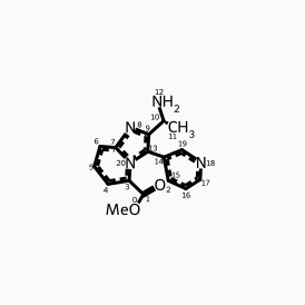 COC(=O)c1cccc2nc([C@H](C)N)c(-c3cccnc3)n12